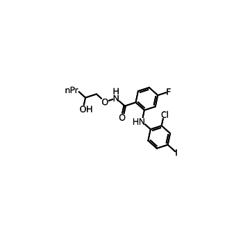 CCCC(O)CONC(=O)c1ccc(F)cc1Nc1ccc(I)cc1Cl